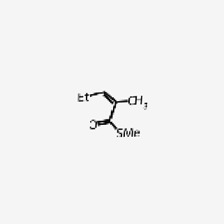 CCC=C(C)C(=O)SC